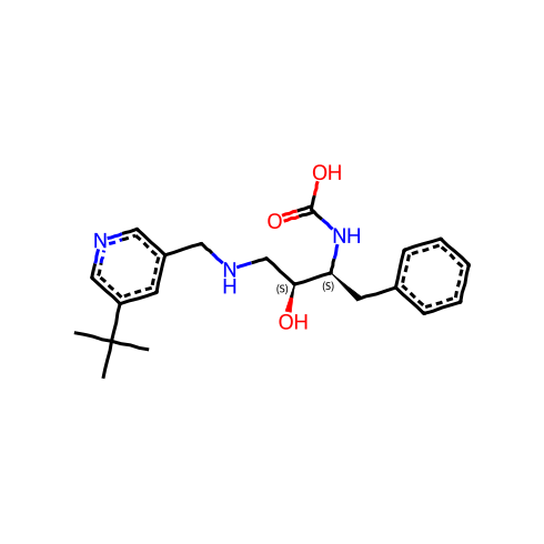 CC(C)(C)c1cncc(CNC[C@H](O)[C@H](Cc2ccccc2)NC(=O)O)c1